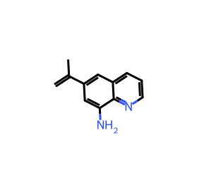 C=C(C)c1cc(N)c2ncccc2c1